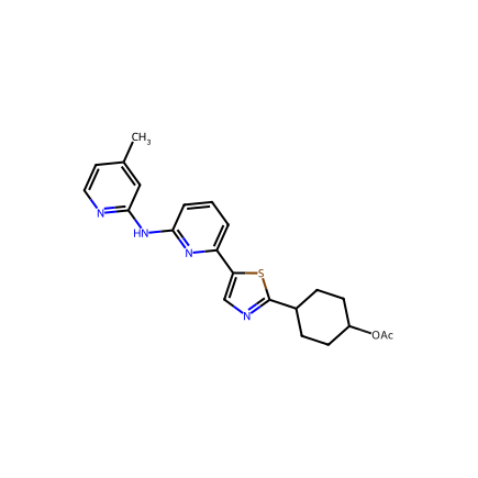 CC(=O)OC1CCC(c2ncc(-c3cccc(Nc4cc(C)ccn4)n3)s2)CC1